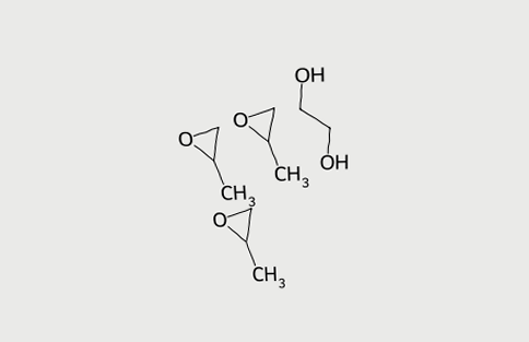 CC1CO1.CC1CO1.CC1CO1.OCCO